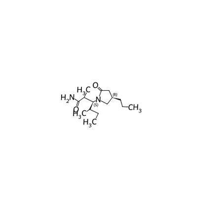 CCC[C@@H]1CC(=O)N([C@@H](C(C)CC)C(C)C(N)=O)C1